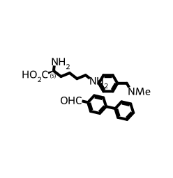 CNCc1ccccc1.NCCCC[C@H](N)C(=O)O.O=Cc1ccc(-c2ccccc2)cc1